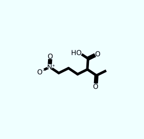 CC(=O)C(CCC[N+](=O)[O-])C(=O)O